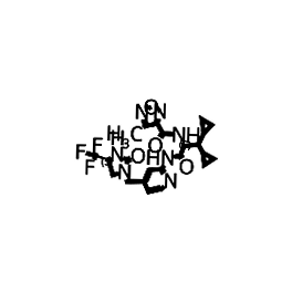 Cc1nonc1C(=O)N[C@H](C(=O)Nc1cc(CN2C[C@@H](C(F)(F)F)NC2=O)ccn1)C(C1CC1)C1CC1